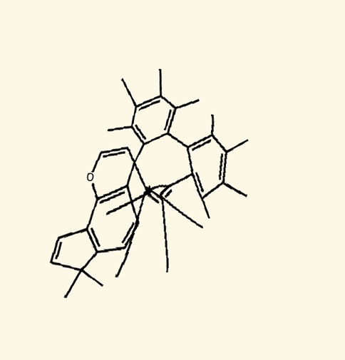 Cc1c(C)c(C)c2c(c1C)-c1c(C)c(C)c(C)c(C)c1C1(C=COc3c1ccc1c3C=CC1(C)C)c1c(C)c(C)c(C)c(C)c1-2